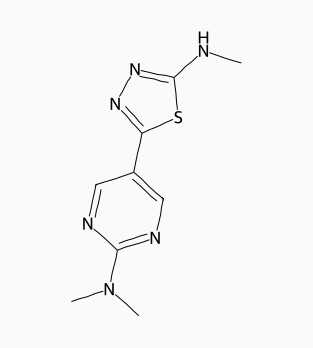 CNc1nnc(-c2cnc(N(C)C)nc2)s1